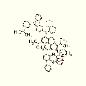 CC(C)c1cccc(-n2c3ccccc3c3cc(N(c4cccc5c4CCCC5)c4cc(C(C)C)c5ccc6c(N(c7cccc8c7CCCC8)c7cccc8c9ccccc9n(-c9cccc(C(C)C)c9)c78)cc(C(C)C)c7ccc4c5c76)ccc32)c1